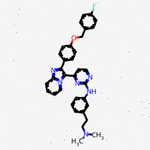 CN(C)CCc1cccc(Nc2nccc(-c3c(-c4ccc(OCc5ccc(F)cc5)cc4)nc4ccccn34)n2)c1